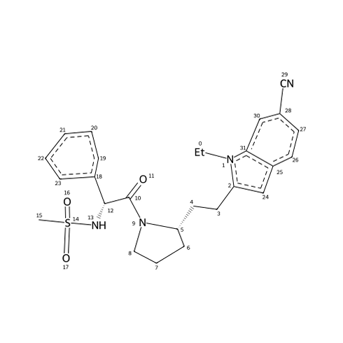 CCn1c(CC[C@@H]2CCCN2C(=O)[C@H](NS(C)(=O)=O)c2ccccc2)cc2ccc(C#N)cc21